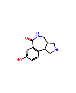 O=C1NCC2CNCC2c2ccc(O)cc21